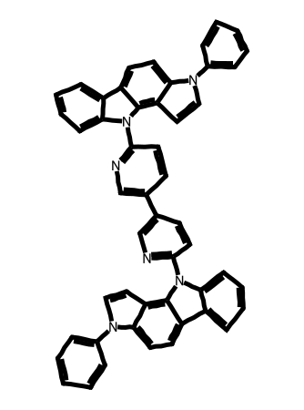 c1ccc(-n2ccc3c2ccc2c4ccccc4n(-c4ccc(-c5ccc(-n6c7ccccc7c7ccc8c(ccn8-c8ccccc8)c76)nc5)cn4)c23)cc1